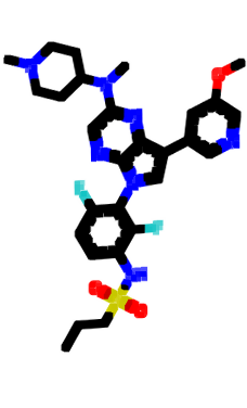 CCCS(=O)(=O)Nc1ccc(F)c(-n2cc(-c3cncc(OC)c3)c3nc(N(C)C4CCN(C)CC4)cnc32)c1F